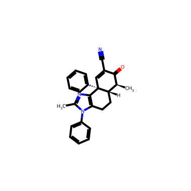 Cc1nc2c(n1-c1ccccc1)CC[C@H]1[C@H](C)C(=O)C(C#N)=C[C@]21c1ccccc1